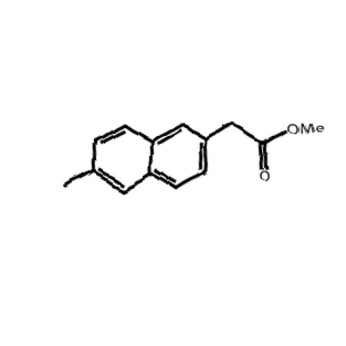 COC(=O)Cc1ccc2cc(C)ccc2c1